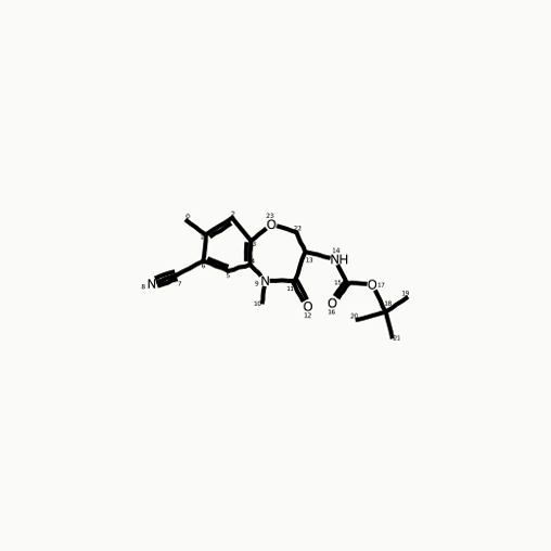 Cc1cc2c(cc1C#N)N(C)C(=O)C(NC(=O)OC(C)(C)C)CO2